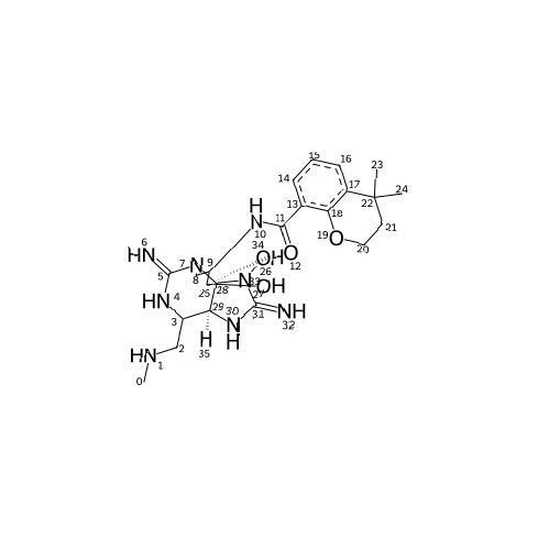 CNCC1NC(=N)N2CC(NC(=O)c3cccc4c3OCCC4(C)C)[C@](C)(O)C23[C@H]1NC(=N)N3O